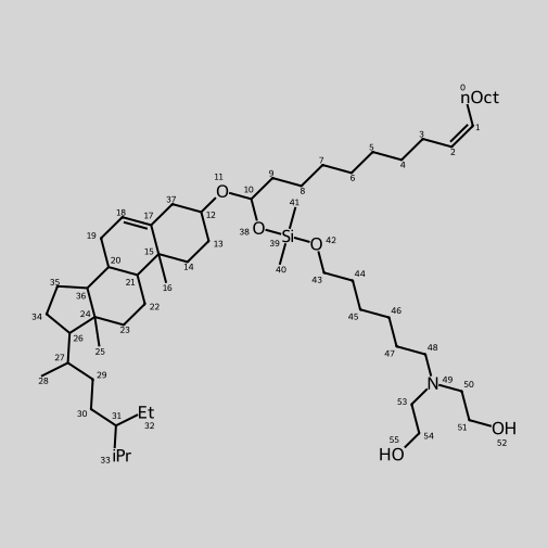 CCCCCCCC/C=C\CCCCCCCC(OC1CCC2(C)C(=CCC3C2CCC2(C)C(C(C)CCC(CC)C(C)C)CCC32)C1)O[Si](C)(C)OCCCCCCN(CCO)CCO